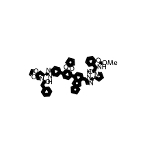 COC(=O)N[C@H](C(=O)N1CCC[C@@H]1c1ncc(-c2ccc(-c3ccc(-c4ccc5nc([C@@H]6CC7(CN6C(=O)Cc6ccccc6)OCCO7)[nH]c5c4)c4c3OC3(CCCC3)O4)c3c2CC2(CCCC2)C3)[nH]1)c1ccccc1